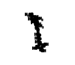 CCC(=O)NCCNC(=O)/N=C(/N)NCCC[C@@H](NC(=O)C(C)c1cccc(OCCCCNC(=O)CONC(=O)CCNC(=O)CN2CCN(CC(=O)O)CCN(CC(=O)O)CCN(CC(=O)O)CC2)c1)C(=O)NCc1c(F)cc(O)cc1F